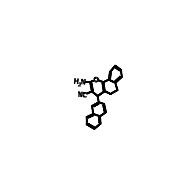 N#CC1=C(N)OC2=C(CCc3ccccc32)C1c1ccc2ccccc2c1